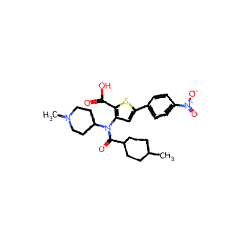 CC1CCC(C(=O)N(c2cc(-c3ccc([N+](=O)[O-])cc3)sc2C(=O)O)C2CCN(C)CC2)CC1